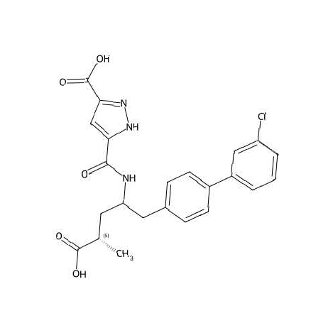 C[C@@H](CC(Cc1ccc(-c2cccc(Cl)c2)cc1)NC(=O)c1cc(C(=O)O)n[nH]1)C(=O)O